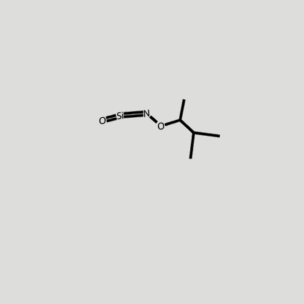 CC(C)C(C)ON=[Si]=O